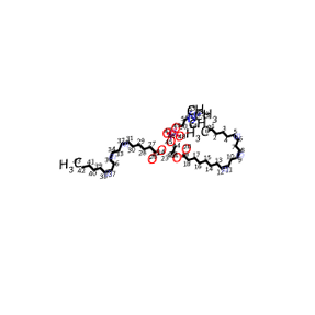 CCCCC/C=C\C/C=C\C/C=C\CCCCCCC(=O)O[C@H](COC(=O)CCCC/C=C\C/C=C\C/C=C\CCCCC)COP(=O)([O-])OCC[N+](C)(C)C